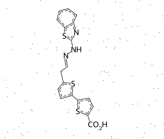 O=C(O)c1ccc(-c2ccc(CC=NNc3nc4ccccc4s3)s2)s1